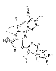 COc1c(Oc2cc(-c3ccc(F)c(C#N)c3)c(C(F)(F)F)c(F)c2C(N)=O)ccc(OC(F)(F)F)c1F